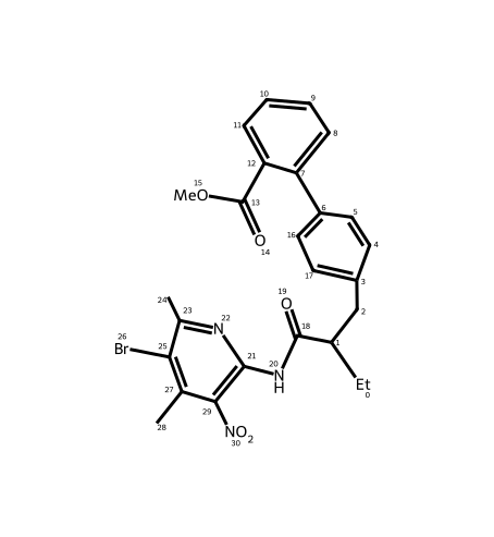 CCC(Cc1ccc(-c2ccccc2C(=O)OC)cc1)C(=O)Nc1nc(C)c(Br)c(C)c1[N+](=O)[O-]